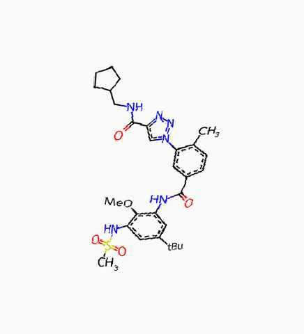 COc1c(NC(=O)c2ccc(C)c(-n3cc(C(=O)NCC4CCCC4)nn3)c2)cc(C(C)(C)C)cc1NS(C)(=O)=O